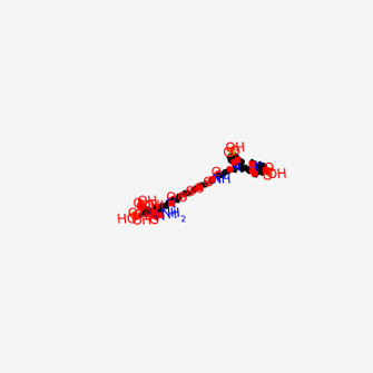 CC[N+]1=C(/C=C/C=C2/N(CCCCCC(=O)NCCOCCOCCOCCOCCC(=O)NCCCc3cn([C@@H]4O[C@H](COP(=O)(O)O)C(OP(=O)(O)O)[C@@H]4O)c(=O)nc3N)c3ccc(S(=O)(=O)O)cc3C2(C)C)C(C)(C)c2cc(S(=O)(=O)O)ccc21